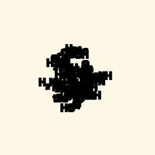 CC(=O)[C@@]1(O)CC[C@H]2[C@@H]3CCC4=CC(=O)CC[C@]4(C)[C@H]3CC[C@@]21C.CC(C)C[C@H](NC(=O)[C@@H](COC(C)(C)C)NC(=O)[C@H](Cc1ccc(O)cc1)NC(=O)[C@H](CO)NC(=O)[C@H](Cc1c[nH]c2ccccc12)NC(=O)[C@H](Cc1c[nH]cn1)NC(=O)[C@@H]1CCC(=O)N1)C(=O)N[C@@H](CCCNC(=N)N)C(=O)N1CCC[C@H]1C(=O)NNC(N)=O